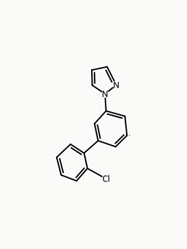 Clc1ccccc1-c1c[c]cc(-n2cccn2)c1